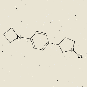 CCN1CCC(c2ccc(N3CCC3)cc2)C1